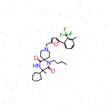 CCCCN1C(=O)C(C)(C2CCCCC2)NC(=O)C12CCN(Cc1ccc(-c3cccc(C)c3C(F)(F)F)o1)CC2